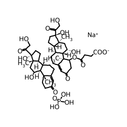 C[C@]12CCC(=O)C=C1CC[C@@H]1[C@@H]2[C@@H](O)C[C@@]2(C)[C@H]1CC[C@]2(O)C(=O)CO.C[C@]12C[C@H](O)[C@H]3[C@@H](CCC4=CC(=O)CC(OC(=O)CCC(=O)[O-])[C@@]43C)[C@@H]1CC[C@]2(O)C(=O)CO.O=P(O)(O)O.[Na+]